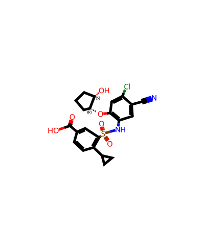 N#Cc1cc(NS(=O)(=O)c2cc(C(=O)O)ccc2C2CC2)c(O[C@@H]2CCC[C@@H]2O)cc1Cl